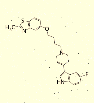 Cc1nc2cc(OCCCCN3CC=C(c4c[nH]c5ccc(F)cc45)CC3)ccc2s1